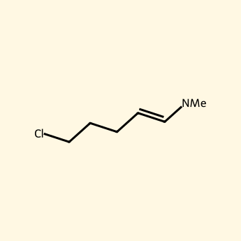 CNC=CCCCCl